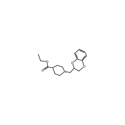 CCOC(=O)C1CCN(CC2COc3ccccc3O2)CC1